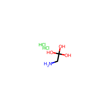 Cl.Cl.NCC(O)(O)O